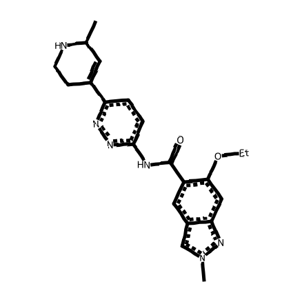 CCOc1cc2nn(C)cc2cc1C(=O)Nc1ccc(C2=CC(C)NCC2)nn1